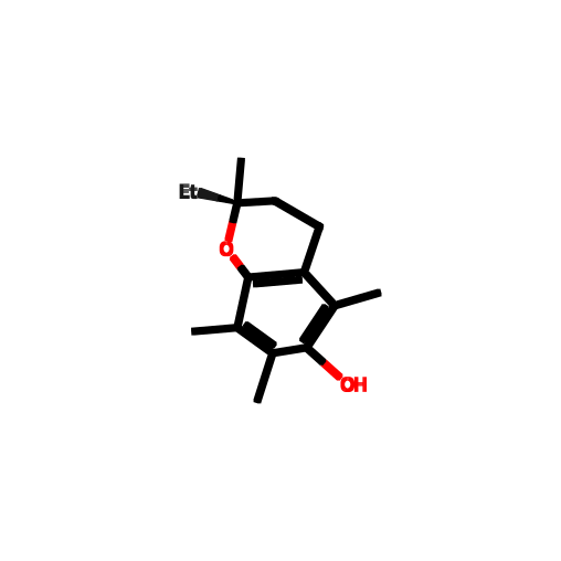 CC[C@@]1(C)CCc2c(C)c(O)c(C)c(C)c2O1